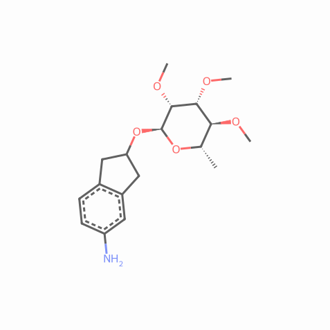 CO[C@@H]1[C@@H](OC)[C@H](C)O[C@@H](OC2Cc3ccc(N)cc3C2)[C@@H]1OC